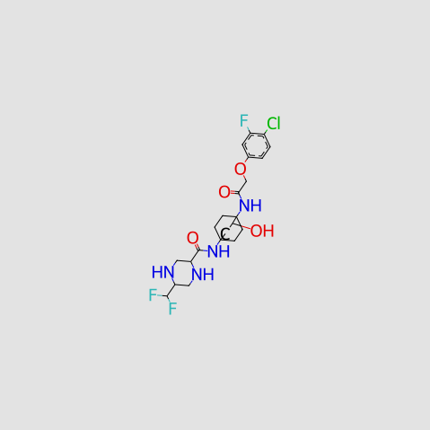 O=C(COc1ccc(Cl)c(F)c1)NC12CCC(NC(=O)C3CNC(C(F)F)CN3)(CC1)CC2O